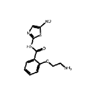 NCCOc1ccccc1C(=O)Nc1ncc(N=O)s1